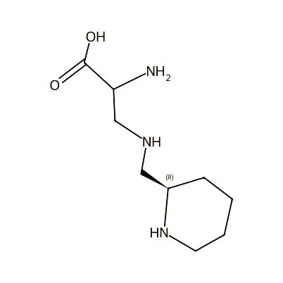 NC(CNC[C@H]1CCCCN1)C(=O)O